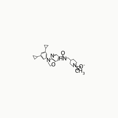 C[S+]([O-])N1CCC(CNC(=O)c2cnc3c(c2)OCCN3c2cc(C3CC3)cc(C3CC3)c2)CC1